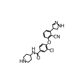 N#Cc1c(Oc2ccc(C(=O)NC3CCNCC3)cc2Cl)cccc1C1C=NNC1